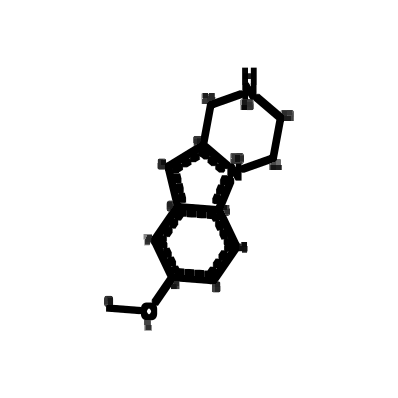 COc1ccc2c(c1)cc1n2CCNC1